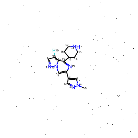 Cn1cc(-c2cn3ncc(F)c3c(C3CCNCC3)n2)cn1